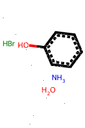 Br.N.O.Oc1ccccc1